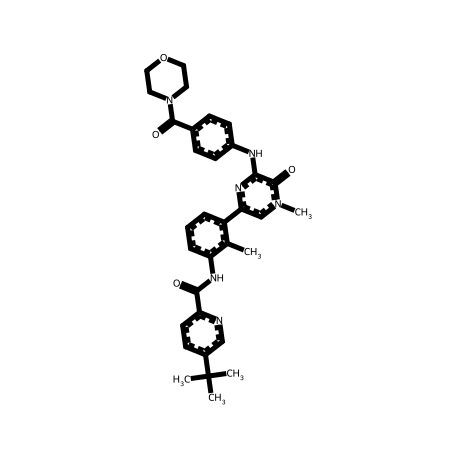 Cc1c(NC(=O)c2ccc(C(C)(C)C)cn2)cccc1-c1cn(C)c(=O)c(Nc2ccc(C(=O)N3CCOCC3)cc2)n1